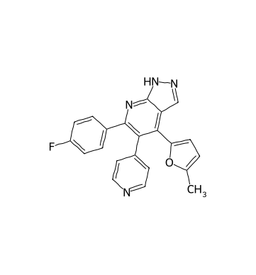 Cc1ccc(-c2c(-c3ccncc3)c(-c3ccc(F)cc3)nc3[nH]ncc23)o1